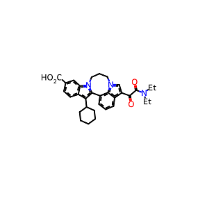 CCN(CC)C(=O)C(=O)c1cn2c3c(cccc13)-c1c(C3CCCCC3)c3ccc(C(=O)O)cc3n1CCC2